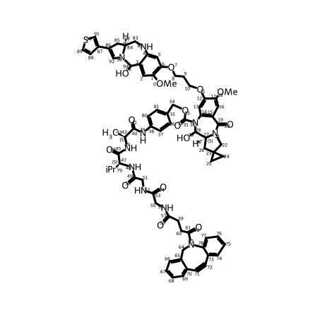 COc1cc2c(cc1OCCCOc1cc3c(cc1OC)C(=O)N1CC4(CC4)C[C@H]1C(O)N3C(=O)OCc1ccc(NC(=O)[C@H](C)NC(=O)[C@@H](NC(=O)CNC(=O)CNC(=O)CCC(=O)N3Cc4ccccc4C#Cc4ccccc43)C(C)C)cc1)NC[C@@H]1CC(c3ccsc3)=CN1C2O